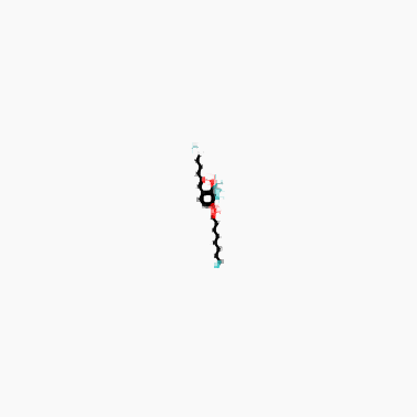 FCCCCCCCCOc1ccc2c(c1F)C(F)(F)OC(CCCCF)=C2